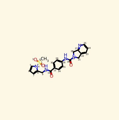 CS(=O)(=O)n1cccc1CNC(=O)c1ccc(NC(=O)N2Cc3cccnc3C2)cc1